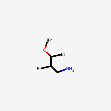 CCC(CN)C(CC)OC(C)C